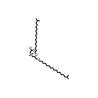 CC(C)CCCCCCCCCCCCCCCOCC(C[N+](C)(C)CC(=O)[O-])OCCCCCCCCCCCCCCCC(C)C